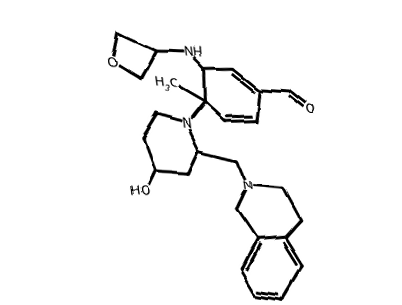 CC1(N2CCC(O)CC2CN2CCc3ccccc3C2)C=CC(C=O)=CC1NC1COC1